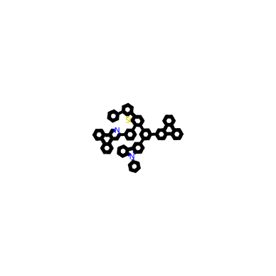 c1ccc(-c2cccc3c2sc2c(-c4cccc(-c5cc6c7ccccc7c7ccccc7c6cn5)c4)c(-c4cc(-c5ccc6c7ccccc7c7ccccc7c6c5)cc(-c5ccc6c(c5)c5ccccc5n6-c5ccccc5)c4)ccc23)cc1